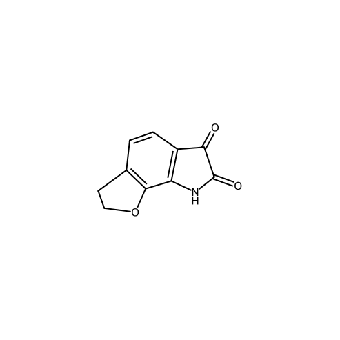 O=C1Nc2c(ccc3c2OCC3)C1=O